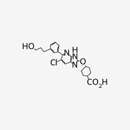 O=C(O)[C@H]1CC[C@H](Oc2nc3cc(Cl)c(-c4cccc(CCCO)c4)nc3[nH]2)CC1